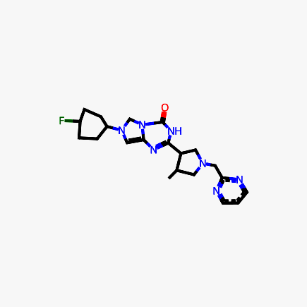 CC1CN(Cc2ncccn2)CC1C1=NC2=CN(C3CCC(F)CC3)CN2C(=O)N1